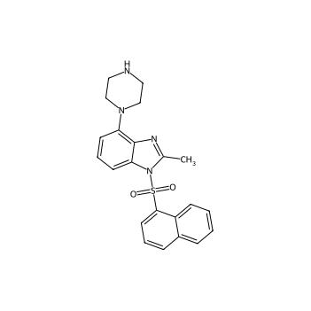 Cc1nc2c(N3CCNCC3)cccc2n1S(=O)(=O)c1cccc2ccccc12